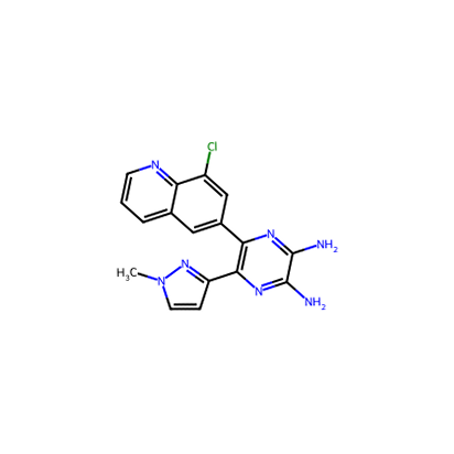 Cn1ccc(-c2nc(N)c(N)nc2-c2cc(Cl)c3ncccc3c2)n1